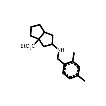 CCOC(=O)C12CCCC1CC(NCc1ccc(C)cc1C)C2